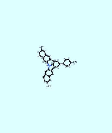 CC(C)c1ccc2cc3c(cc2c1)c1cc(-c2ccc(C#N)cc2)cc2c4cc5cc(C(C)C)ccc5cc4n3c12